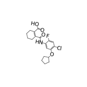 O=C(O)C1=C(C(=O)Nc2cc(OC3CCCC3)c(Cl)cc2F)CCCC1